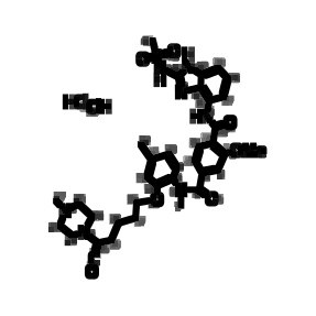 COc1cc(C(=O)N(C)c2ccc(C)cc2OCCCCC(=C=O)N2CCN(C)CC2)ccc1C(=O)Nc1cccc2[nH]c(NS(C)(=O)=O)nc12.Cl.Cl